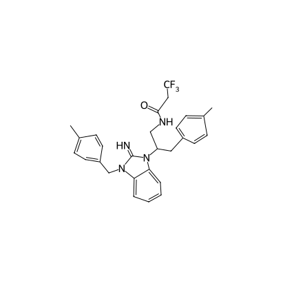 Cc1ccc(CC(CNC(=O)CC(F)(F)F)n2c(=N)n(Cc3ccc(C)cc3)c3ccccc32)cc1